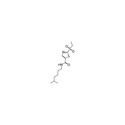 CCS(=O)(=O)c1ncc(C(=O)NCCCCC(C)C)s1